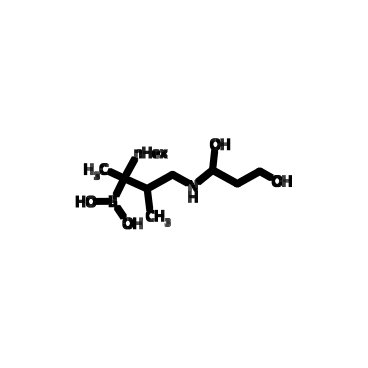 CCCCCCC(C)(B(O)O)C(C)CNC(O)CCO